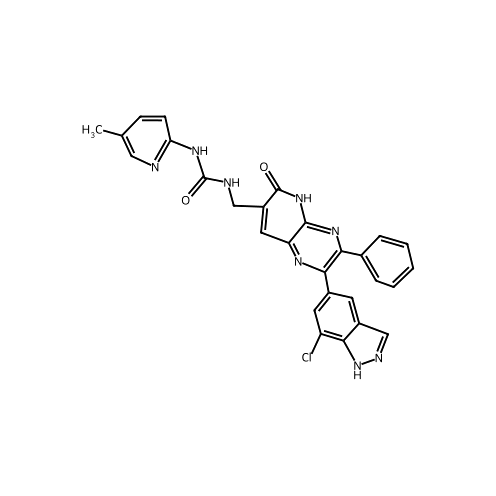 Cc1ccc(NC(=O)NCc2cc3nc(-c4cc(Cl)c5[nH]ncc5c4)c(-c4ccccc4)nc3[nH]c2=O)nc1